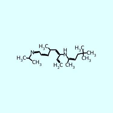 C=C/C(=C\C(C)/C=C\C=N/C(C)C)N/C(C)=C\CC(C)(C)C